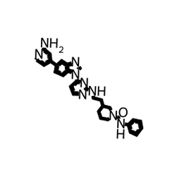 Nc1cc(-c2ccc3c(c2)ncn3-c2ccnc(NCCC3CCCN(C(=O)Nc4ccccc4)C3)n2)ccn1